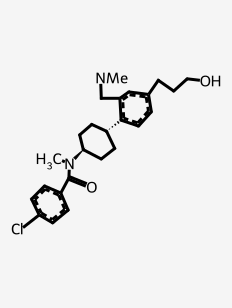 CNCc1cc(CCCO)ccc1[C@H]1CC[C@H](N(C)C(=O)c2ccc(Cl)cc2)CC1